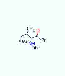 CSCC(C)C(NC(C)C)C(=O)C(C)C